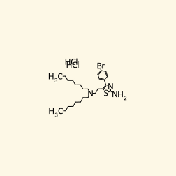 CCCCCCCCN(CCCCCCCC)CCc1sc(N)nc1-c1ccc(Br)cc1.Cl.Cl